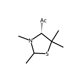 CC(=O)[C@H]1N(C)C(C)SC1(C)C